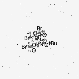 CC(C)(C)OC(=O)NC(COC(=O)C(C)(C)Br)(COC(=O)C(C)(C)Br)COC(=O)C(C)(C)Br